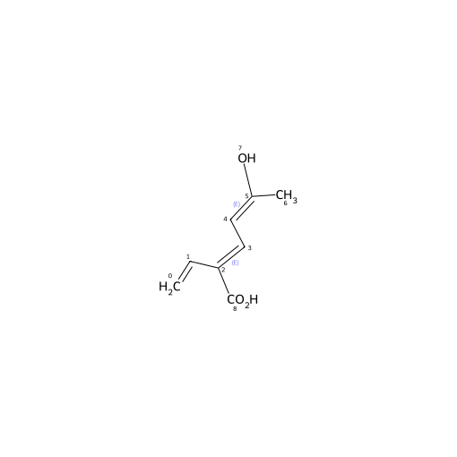 C=C/C(=C\C=C(/C)O)C(=O)O